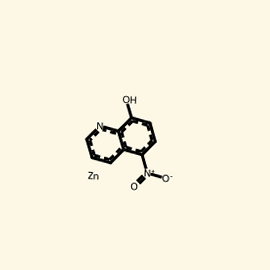 O=[N+]([O-])c1ccc(O)c2ncccc12.[Zn]